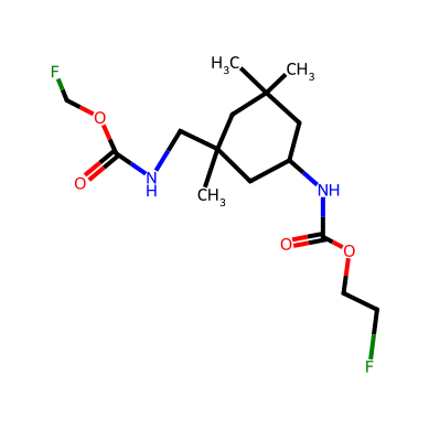 CC1(C)CC(NC(=O)OCCF)CC(C)(CNC(=O)OCF)C1